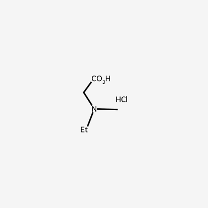 CCN(C)CC(=O)O.Cl